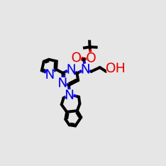 CC(C)(C)OC(=O)N(CCCO)c1cc(N2CCc3ccccc3CC2)nc(-c2ccccn2)n1